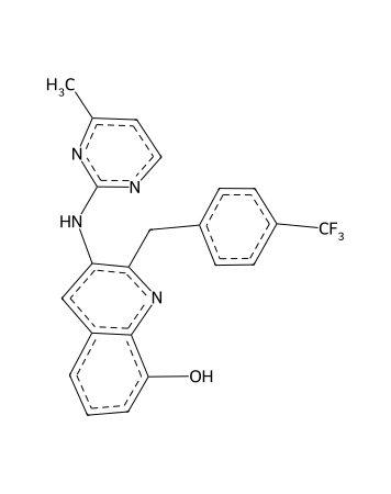 Cc1ccnc(Nc2cc3cccc(O)c3nc2Cc2ccc(C(F)(F)F)cc2)n1